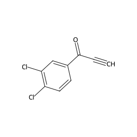 C#CC(=O)c1ccc(Cl)c(Cl)c1